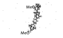 COCCN1C[C@H]2CC(N3CCC(c4cc(C)c5nc(-c6cc(OC)c7ncnn7c6)n(C)c5n4)CC3)C[C@H]2C1